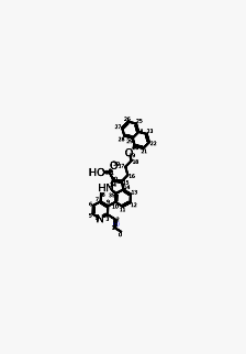 C/C=C/c1nccc(C)c1-c1cccc2c(CCCOc3cccc4ccccc34)c(C(=O)O)[nH]c12